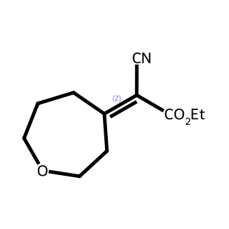 CCOC(=O)/C(C#N)=C1/CCCOCC1